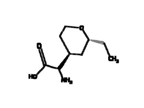 CC[C@@H]1C[C@@H](C(N)C(=O)O)CCO1